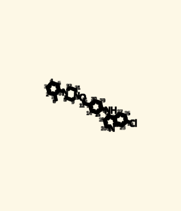 Cc1ccccc1N1CCN(OCc2ccc(Nc3ccnc4cc(Cl)ccc34)cc2)CC1